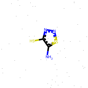 Nc1snnc1S